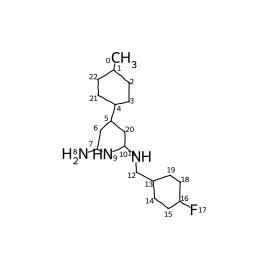 CC1CCC(C2CC(N)NC(NCC3CCC(F)CC3)C2)CC1